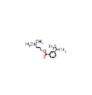 CC(C)c1cccc(C(=O)OCCCN(C)C)c1